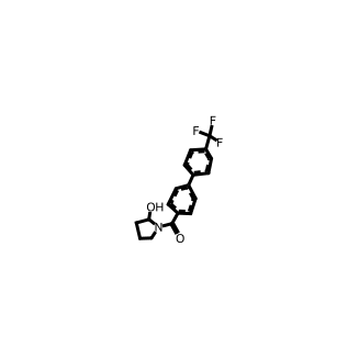 O=C(c1ccc(-c2ccc(C(F)(F)F)cc2)cc1)N1CCCC1O